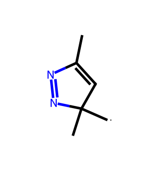 [CH2]C1(C)C=C(C)N=N1